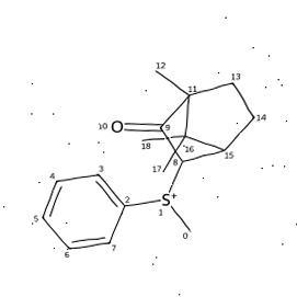 C[S+](c1ccccc1)C1C(=O)C2(C)CCC1C2(C)C